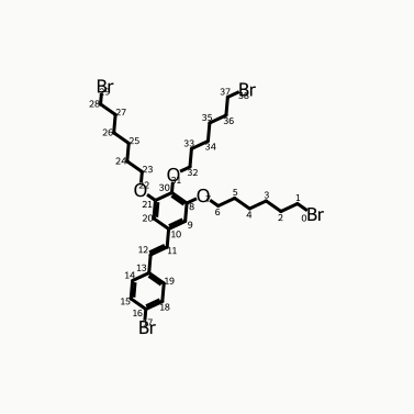 BrCCCCCCOc1cc(/C=C/c2ccc(Br)cc2)cc(OCCCCCCBr)c1OCCCCCCBr